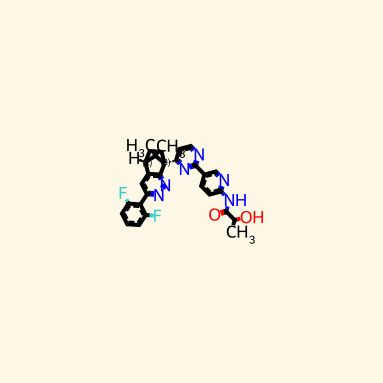 CC(O)C(=O)Nc1ccc(-c2nccc([C@]34CC[C@@H](c5cc(-c6c(F)cccc6F)nnc53)C4(C)C)n2)cn1